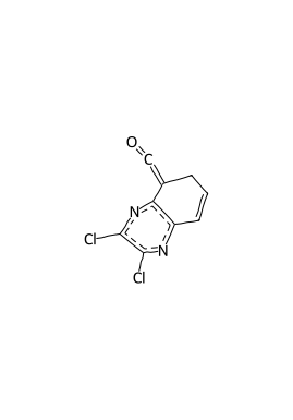 O=C=C1CC=Cc2nc(Cl)c(Cl)nc21